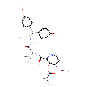 COc1ccc(C(c2ccc(OC)cc2)[C@H](C)NC(=O)[C@@H](NC(=O)c2nccc(OC)c2OC(=O)C(C)C)C(C)C)cc1